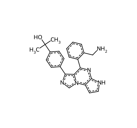 CC(C)(O)c1ccc(-c2ncn3c2c(-c2ccccc2CN)nc2[nH]ccc23)cc1